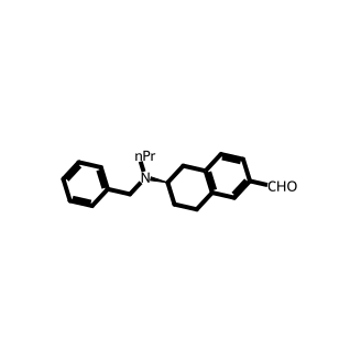 CCCN(Cc1ccccc1)[C@@H]1CCc2cc(C=O)ccc2C1